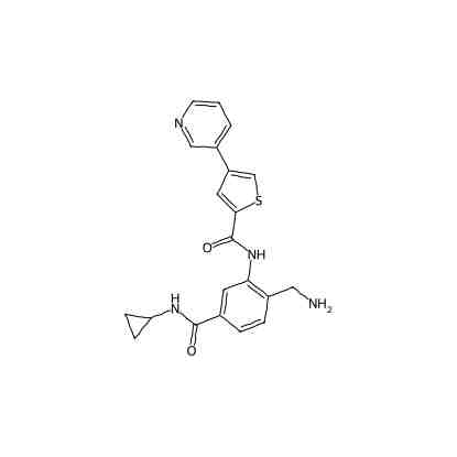 NCc1ccc(C(=O)NC2CC2)cc1NC(=O)c1cc(-c2cccnc2)cs1